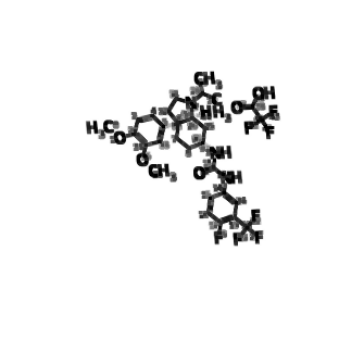 COc1ccc([C@@]23CC[C@@H](NC(=O)Nc4ccc(F)c(C(F)(F)F)c4)C[C@@H]2N(C(C)C)CC3)cc1OC.O=C(O)C(F)(F)F